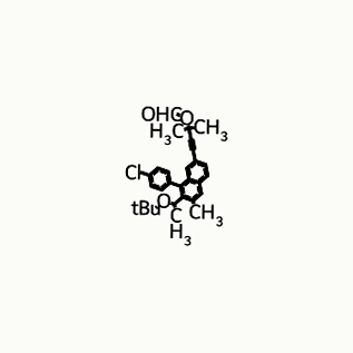 Cc1cc2ccc(C#CC(C)(C)OC=O)cc2c(-c2ccc(Cl)cc2)c1C(C)OC(C)(C)C